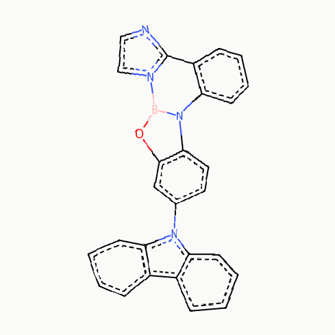 c1ccc2c(c1)-c1nccn1B1Oc3cc(-n4c5ccccc5c5ccccc54)ccc3N12